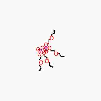 C=CCOCCOP(=O)(OCCOCC=C)OP(=O)(OCCOCC=C)OCCOCC=C